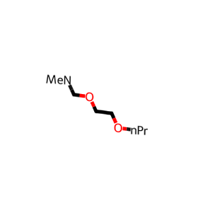 CCCOCCOCNC